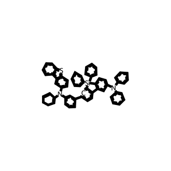 C1=CC(N(c2cccc(-c3ccc4c(c3)[Si](c3ccccc3)(c3ccccc3)c3ccc(N(c5ccccc5)c5ccccc5)cc3-4)c2)c2ccc3sc4ccccc4c3c2)=CCC1